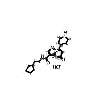 Cl.O=C(NCCC1CCCC1)c1cnn2c(C3CCNCC3)cc(=O)[nH]c12